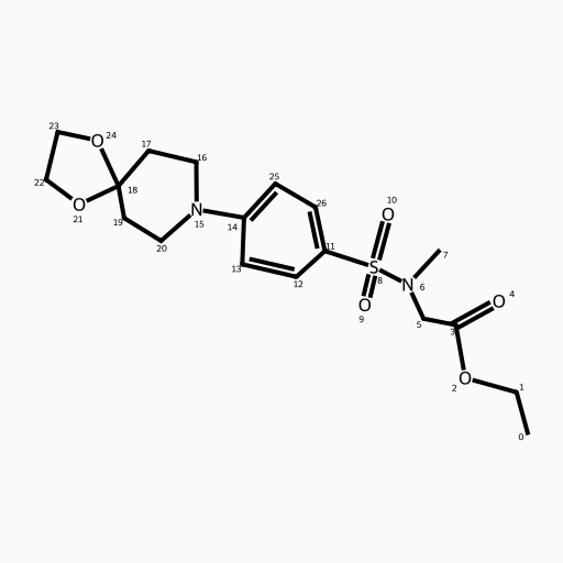 CCOC(=O)CN(C)S(=O)(=O)c1ccc(N2CCC3(CC2)OCCO3)cc1